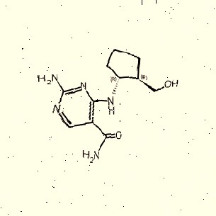 NC(=O)c1cnc(N)nc1N[C@@H]1CCC[C@H]1CO